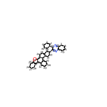 c1ccc(-c2nc3ccccc3nc2-c2ccc3c(ccc4c5oc6ccccc6c5c5ccccc5c34)c2)cc1